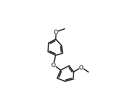 COc1[c]ccc(Oc2ccc(OC)cc2)c1